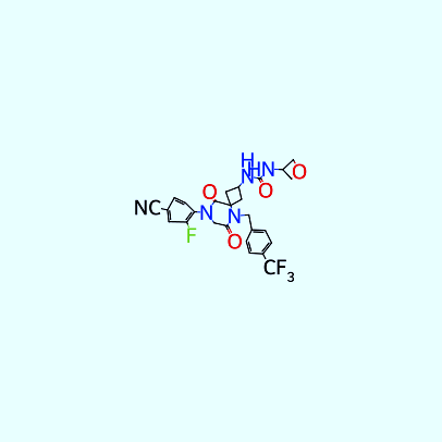 N#Cc1ccc(N2CC(=O)N(Cc3ccc(C(F)(F)F)cc3)C3(CC(NC(=O)NC4COC4)C3)C2=O)c(F)c1